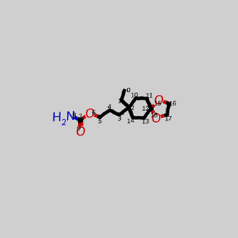 CCC1([CH]CCOC(N)=O)CCC2(CC1)OCCO2